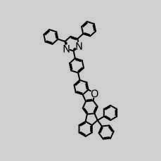 c1ccc(-c2cc(-c3ccccc3)nc(-c3ccc(-c4ccc5c(c4)oc4cc6c(cc45)-c4ccccc4C6(c4ccccc4)c4ccccc4)cc3)n2)cc1